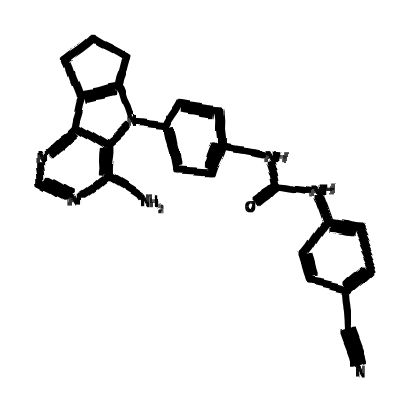 N#Cc1ccc(NC(=O)Nc2ccc(-n3c4c(c5ncnc(N)c53)CCC4)cc2)cc1